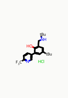 CC(C)(C)NCc1cc(C(C)(C)C)cc(-c2ccc(C(F)(F)F)nc2)c1O.Cl